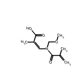 C=C(C)C(=O)N(C=C(C)C(=O)O)COC